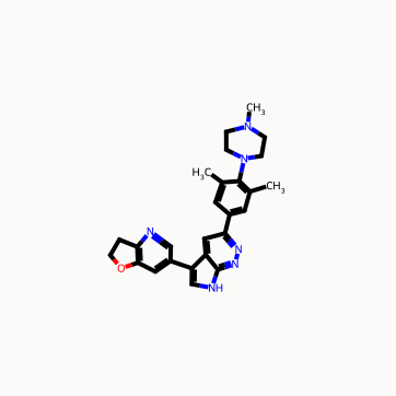 Cc1cc(-c2cc3c(-c4cnc5c(c4)OCC5)c[nH]c3nn2)cc(C)c1N1CCN(C)CC1